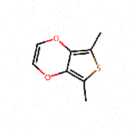 Cc1sc(C)c2c1OC=CO2